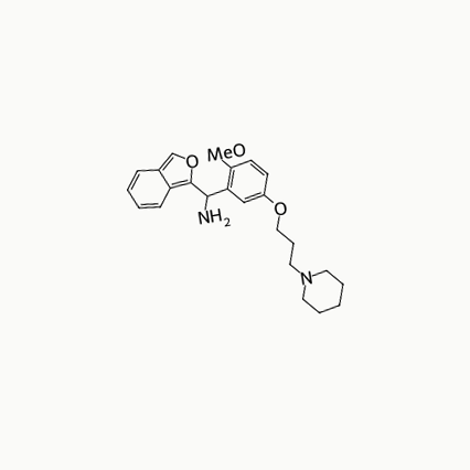 COc1ccc(OCCCN2CCCCC2)cc1C(N)c1occ2ccccc12